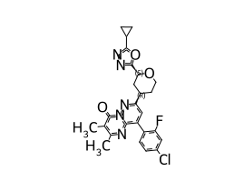 Cc1nc2c(-c3ccc(Cl)cc3F)cc([C@@H]3CCO[C@H](c4nnc(C5CC5)o4)C3)nn2c(=O)c1C